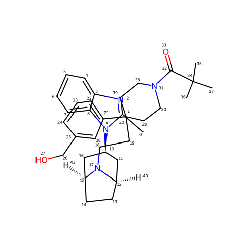 Cc1nc2ccccc2n1[C@H]1C[C@H]2CC[C@@H](C1)N2CCC1(c2cccc(CO)c2)CCN(C(=O)C(C)(C)C)CC1